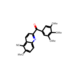 COc1cc(C(=O)c2ccc3c(C#N)c(OC)ccc3n2)cc(OC)c1OC